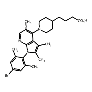 Cc1cc(Br)cc(C)c1-n1c(C)c(C)c2c(N3CCC(CCCC(=O)O)CC3)c(C)cnc21